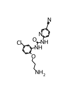 N#Cc1ccc(NC(=O)Nc2cc(Cl)ccc2OCCCN)nc1